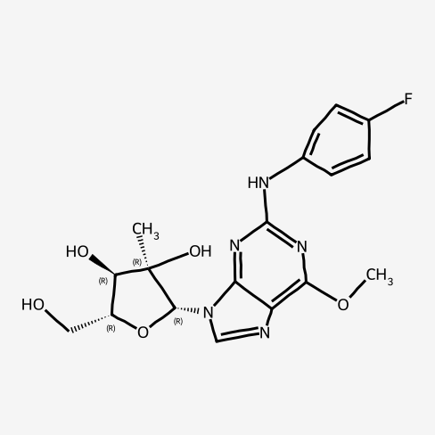 COc1nc(Nc2ccc(F)cc2)nc2c1ncn2[C@@H]1O[C@H](CO)[C@@H](O)[C@@]1(C)O